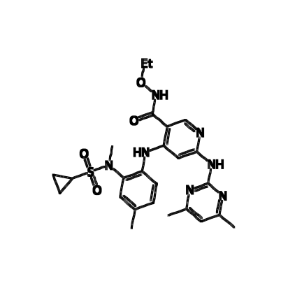 CCONC(=O)c1cnc(Nc2nc(C)cc(C)n2)cc1Nc1ccc(C)cc1N(C)S(=O)(=O)C1CC1